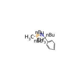 CCCCC(CCCC)(N=P(C)(C)CCCC)c1ccccc1